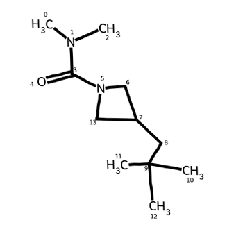 CN(C)C(=O)N1CC(CC(C)(C)C)C1